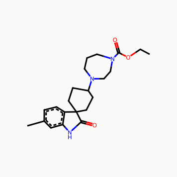 CCOC(=O)N1CCCN(C2CCC3(CC2)C(=O)Nc2cc(C)ccc23)CC1